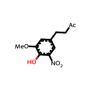 COc1cc(CCC(C)=O)cc([N+](=O)[O-])c1O